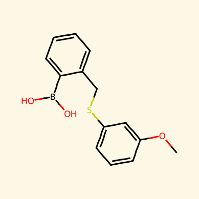 COc1cccc(SCc2ccccc2B(O)O)c1